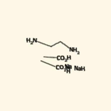 CC(=O)O.CC(=O)O.NCCN.[NaH].[NaH]